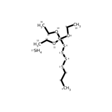 CCCSSSS[Si](OCC)(OCC)OCC.[SiH4]